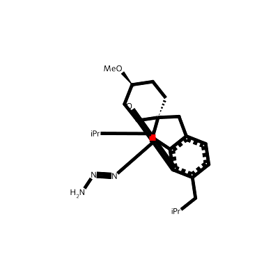 CO[C@H]1CC[C@]2(CC1)Cc1ccc(CC(C)C)cc1C21N=C(N=NN)N(C(C)C)C1=O